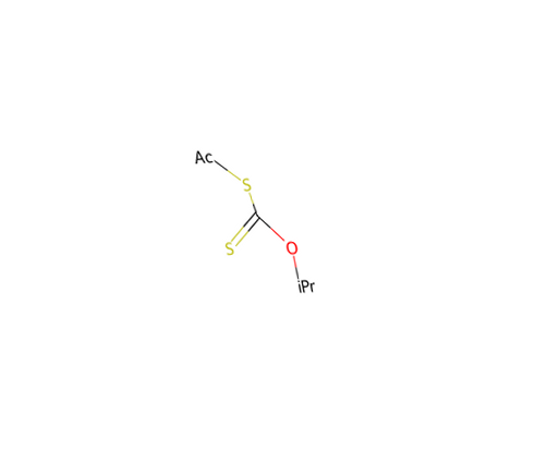 CC(=O)SC(=S)OC(C)C